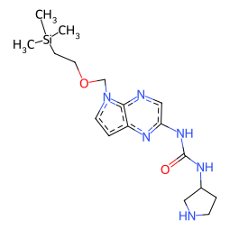 C[Si](C)(C)CCOCn1ccc2nc(NC(=O)NC3CCNC3)cnc21